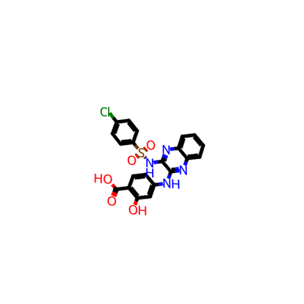 O=C(O)c1ccc(Nc2nc3ccccc3nc2NS(=O)(=O)c2ccc(Cl)cc2)cc1O